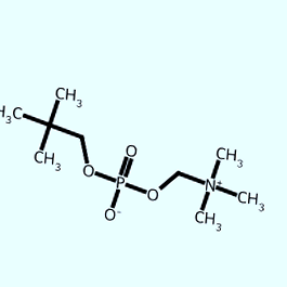 CC(C)(C)COP(=O)([O-])OC[N+](C)(C)C